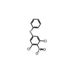 O=[N+]([O-])c1c(Cl)cc(Sc2ccccc2)cc1Cl